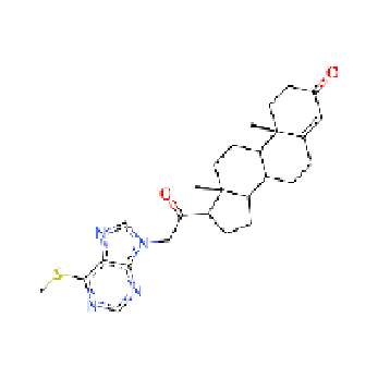 CSc1ncnc2c1ncn2CC(=O)C1CCC2C3CCC4=CC(=O)CC[C@@]4(C)C3CC[C@@]12C